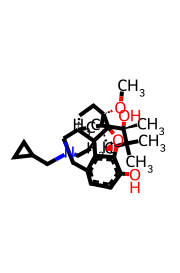 CO[C@@]12CC[C@@]3(C[C@@H]1[C@](C)(O)C(C)(C)C)C1Cc4ccc(O)c5c4[C@@]3(CCN1CC1CC1)[C@]2(C)O5